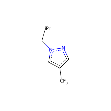 CC(C)Cn1cc(C(F)(F)F)cn1